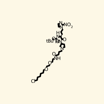 CC(C)(C)OC(=O)N[C@@H](CCCn1ccnc1[N+](=O)[O-])C(=O)N[C@@H]1CCN(CCCC(=O)NCCOCCOCCCCCCCl)C1